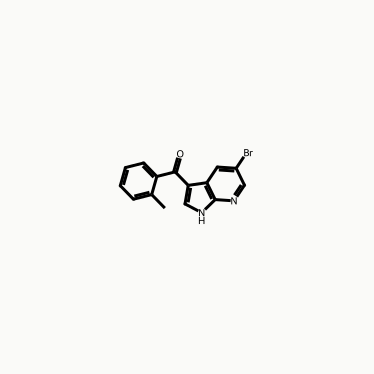 Cc1ccccc1C(=O)c1c[nH]c2ncc(Br)cc12